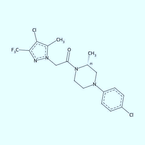 Cc1c(Cl)c(C(F)(F)F)nn1CC(=O)N1CCN(c2ccc(Cl)cc2)C[C@H]1C